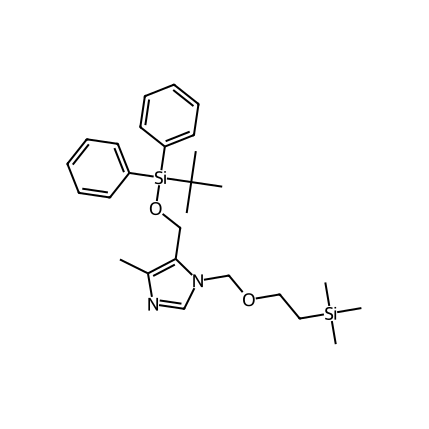 Cc1ncn(COCC[Si](C)(C)C)c1CO[Si](c1ccccc1)(c1ccccc1)C(C)(C)C